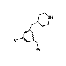 CCc1cc(CN2CCNCC2)cc(CC(C)(C)C)c1